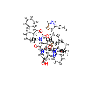 Cc1ncsc1-c1ccc(C(C)NC(=O)[C@@H]2C[C@@H](O)CN2C(=O)C(N(C)C(=O)OC2c3ccccc3-c3ccccc32)C(C)(C)SC(c2ccccc2)(c2ccccc2)c2ccccc2)cc1